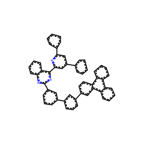 c1ccc(-c2cc(-c3ccccc3)nc(-c3nc(-c4cccc(-c5cccc(-c6ccc7c8ccccc8c8ccccc8c7c6)c5)c4)nc4ccccc34)c2)cc1